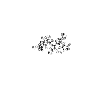 CC(C)[C@@H]1[C@@H](C(=O)N[C@@H](C[C@@H]2CCNC2=O)C(=O)C(N)=O)N(C(=O)[C@@H](NC(=O)NC(C)(C)C)C(C)(C)C)C[C@@H]1C